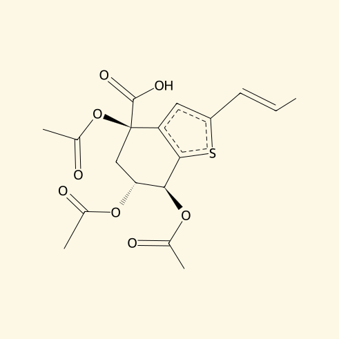 CC=Cc1cc2c(s1)[C@@H](OC(C)=O)[C@H](OC(C)=O)C[C@]2(OC(C)=O)C(=O)O